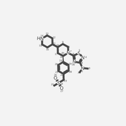 CN(C)c1nsc(N2CCC(C3CCNCC3)C[C@@H]2c2ccc(CS(C)(=O)=O)cc2)n1